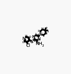 CC1(C)CCN(c2cnc(Sc3ccncc3Cl)c(N)n2)CC1